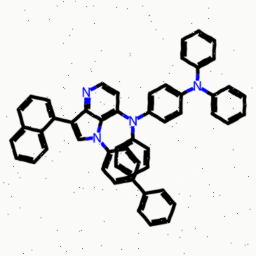 c1ccc(-c2ccc(-n3cc(-c4cccc5ccccc45)c4nccc(N(c5ccccc5)c5ccc(N(c6ccccc6)c6ccccc6)cc5)c43)cc2)cc1